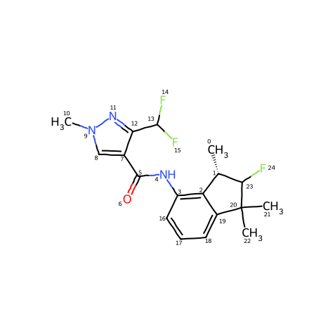 C[C@H]1c2c(NC(=O)c3cn(C)nc3C(F)F)cccc2C(C)(C)C1F